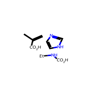 C=C(C)C(=O)O.CCNC(=O)O.c1c[nH]cn1